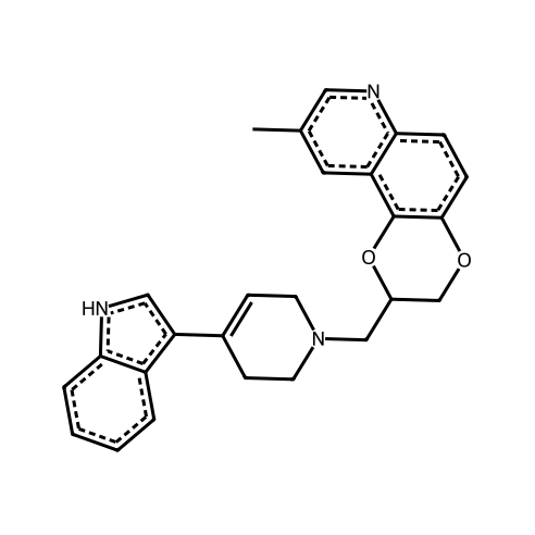 Cc1cnc2ccc3c(c2c1)OC(CN1CC=C(c2c[nH]c4ccccc24)CC1)CO3